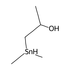 CC(O)[CH2][SnH]([CH3])[CH3]